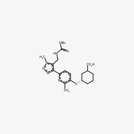 Cc1nc(-c2nnn(C)c2CNC(=O)OCC(C)C)ccc1O[C@H]1CCCC(C(=O)O)C1